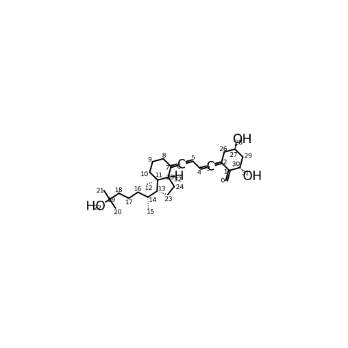 C=C1C(=C=CC=C=C2CCC[C@]3(C)[C@@H]([C@H](C)CCCC(C)(C)O)CC[C@@H]23)C[C@@H](O)C[C@@H]1O